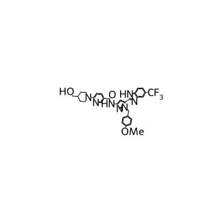 COc1ccc(Cn2nc(NC(=O)c3ccc(N4CCC(CO)CC4)nc3)cc2-c2nc3cc(C(F)(F)F)ccc3[nH]2)cc1